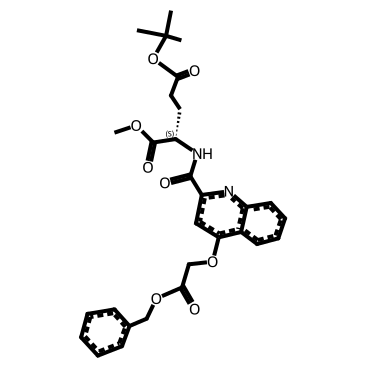 COC(=O)[C@H](CCC(=O)OC(C)(C)C)NC(=O)c1cc(OCC(=O)OCc2ccccc2)c2ccccc2n1